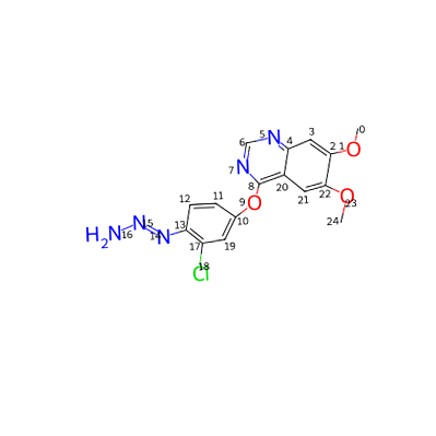 COc1cc2ncnc(Oc3ccc(N=NN)c(Cl)c3)c2cc1OC